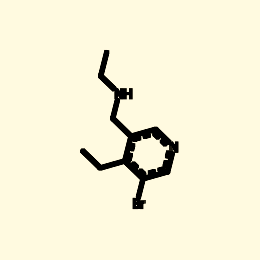 CCNCc1cncc(Br)c1CC